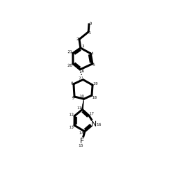 CCCc1ccc([C@H]2CC[C@H](c3ccc(F)nc3)CC2)cc1